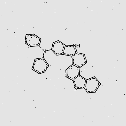 c1ccc(N(c2ccccc2)c2ccc3[nH]c4ccc5c(ccc6sc7ccccc7c65)c4c3c2)cc1